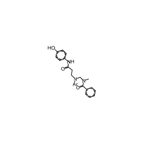 CC(=O)N(CCC(=O)Nc1ccc(O)cc1)CN(C)C(=O)c1ccccc1